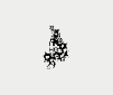 CCC[C@]1(c2ccccc2CC)CC(O)=C([C@H](c2cccc(NS(=O)(=O)c3cn(C)cn3)c2)C(C)(C)C)C(=O)O1